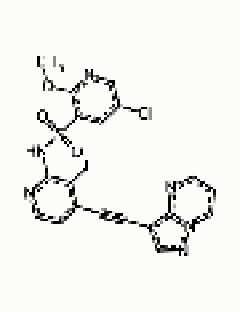 COc1ncc(Cl)cc1S(=O)(=O)Nc1nccc(C#Cc2cnn3cccnc23)c1F